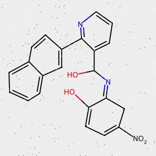 O=[N+]([O-])C1=CC=C(O)C(=NC(O)c2cccnc2-c2ccc3ccccc3c2)C1